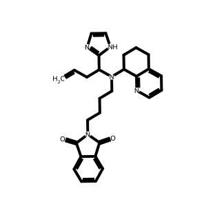 C=CCC(c1ncc[nH]1)N(CCCCN1C(=O)c2ccccc2C1=O)C1CCCc2cccnc21